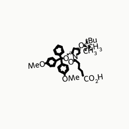 COc1ccc(C(OC[C@@H]2C[C@@H](O[Si](C)(C)C(C)(C)C)CN2C(=O)CCCCC(=O)O)(c2ccccc2)c2ccc(OC)cc2)cc1